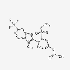 CCS(=O)(=O)c1cc(OC(=O)O)cnc1-c1nc2cc(C(F)(F)F)ncc2n1C